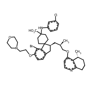 C[C@@H](COc1ccnc2c1[C@H](C)CCC2)C[C@H]1Cc2ccc(OCCN3CCOCC3)c(Br)c2C12CCC(Nc1cccc(Cl)c1)(C(=O)O)CC2